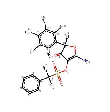 [2H]c1c([2H])c([C@]2([2H])OC(N)=C(OS(=O)(=O)C([2H])([2H])c3ccccc3)C2=O)c([2H])c([2H])c1C(F)(F)F